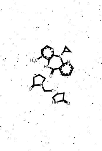 CCN1CCCC1=O.Cc1ccnc2c1NC(=O)c1cccnc1N2C1CC1.O=C1CCCN1